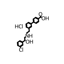 Cl.O=C(O)c1ccc(-c2cccc(CCNC[C@H](O)c3cccc(Cl)c3)c2)cc1